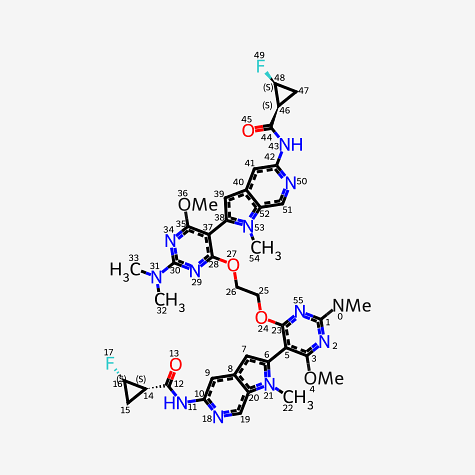 CNc1nc(OC)c(-c2cc3cc(NC(=O)[C@@H]4C[C@@H]4F)ncc3n2C)c(OCCOc2nc(N(C)C)nc(OC)c2-c2cc3cc(NC(=O)[C@@H]4C[C@@H]4F)ncc3n2C)n1